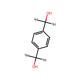 [2H]C([2H])(O)c1ccc(C([2H])([2H])O)cc1